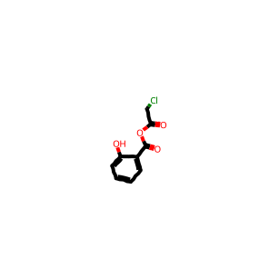 O=C(CCl)OC(=O)c1ccccc1O